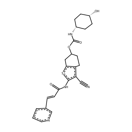 N#Cc1c(NC(=O)C=Cc2cccnc2)sc2c1CCC(OC(=O)N[C@H]1CC[C@@H](O)CC1)C2